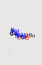 CC(C)(C)OC(=O)N1CCCC(F)(C(=O)Nc2cnc(-c3cccc4cn[nH]c34)cn2)C1